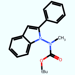 CN(C(=O)OC(C)(C)C)n1c(-c2ccccc2)cc2ccccc21